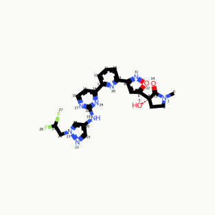 CN1CC[C@@](O)(c2cc(-c3cccc(-c4ccnc(Nc5cnn(CC(F)F)c5)n4)n3)no2)C1=O